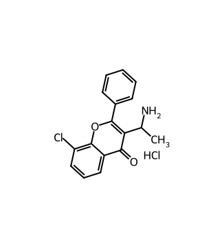 CC(N)c1c(-c2ccccc2)oc2c(Cl)cccc2c1=O.Cl